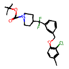 Cc1ccc(OCc2cccc(C(F)(F)C3CCN(C(=O)OC(C)(C)C)CC3)c2)c(Cl)c1